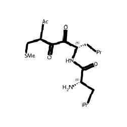 CSCC(C(C)=O)C(=O)C(=O)[C@H](CC(C)C)NC(=O)[C@@H](N)CC(C)C